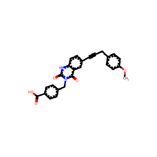 COc1ccc(CC#Cc2ccc3[nH]c(=O)n(Cc4ccc(C(=O)O)cc4)c(=O)c3c2)cc1